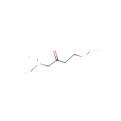 CCCCOCCC(=O)CN(CCC)CCC